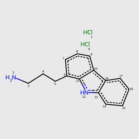 Cl.Cl.NCCCc1cccc2c1[nH]c1ccccc12